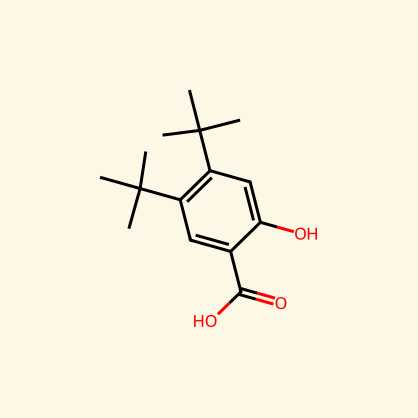 CC(C)(C)c1cc(O)c(C(=O)O)cc1C(C)(C)C